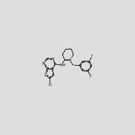 Fc1cc(F)cc(CN2CCCCC2Nc2ncnc3sc(Cl)cc23)c1